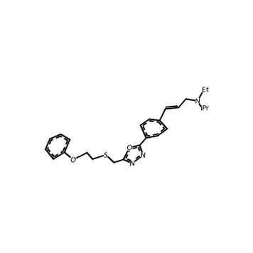 CCN(CC=Cc1ccc(-c2nnc(CSCCOc3ccccc3)o2)cc1)C(C)C